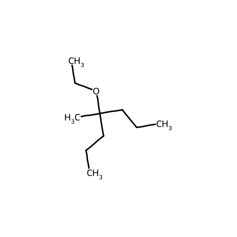 CCCC(C)(CCC)OCC